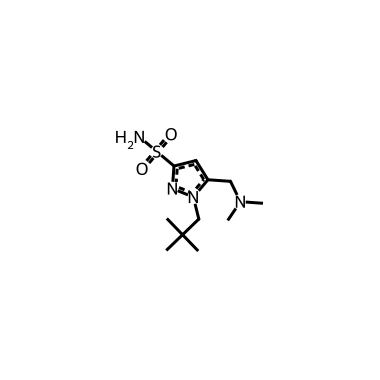 CN(C)Cc1cc(S(N)(=O)=O)nn1CC(C)(C)C